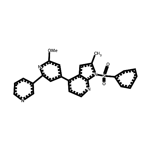 COc1cc(-c2ccnc3c2cc(C)n3S(=O)(=O)c2ccccc2)cc(-c2cccnc2)n1